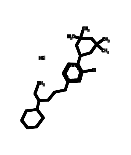 CC1(C)CC(c2ccc(CCCC(CN)C3CCCCC3)cc2Cl)CC(C)(C)C1.Cl